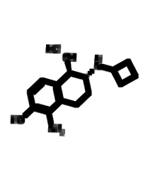 Cl.Nc1c(O)ccc2c1CC[C@@H](NC1CCC1)[C@@H]2O